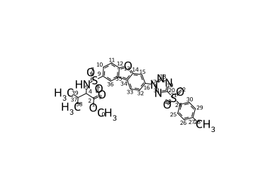 COC(=O)C(NS(=O)(=O)c1ccc2oc3cc(-n4nnc(S(=O)(=O)c5ccc(C)cc5)n4)ccc3c2c1)C(C)C